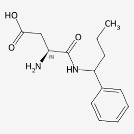 CCCC(NC(=O)[C@@H](N)CC(=O)O)c1ccccc1